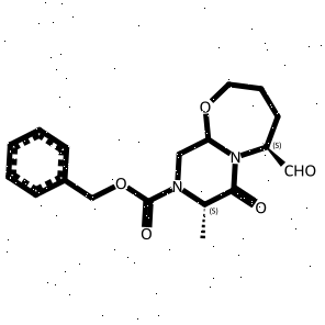 C[C@H]1C(=O)N2C(CN1C(=O)OCc1ccccc1)OCCC[C@H]2C=O